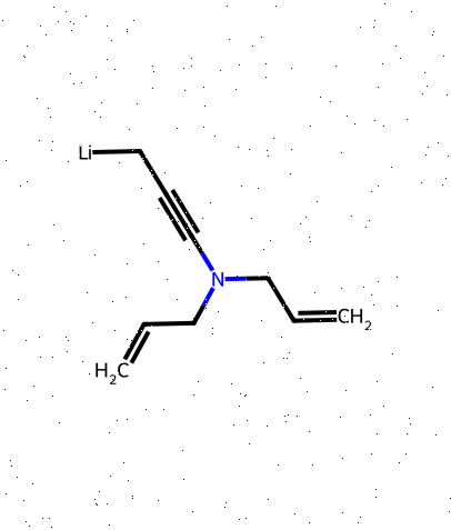 [Li][CH2]C#CN(CC=C)CC=C